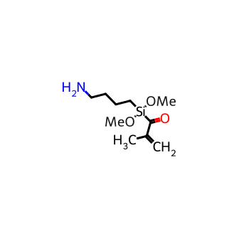 C=C(C)C(=O)[Si](CCCCN)(OC)OC